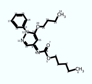 CCCCCOC(=O)/N=c1/cnn(-c2ccccc2)c(OCCCC)c1